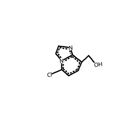 OCc1ccc(Cl)n2ccnc12